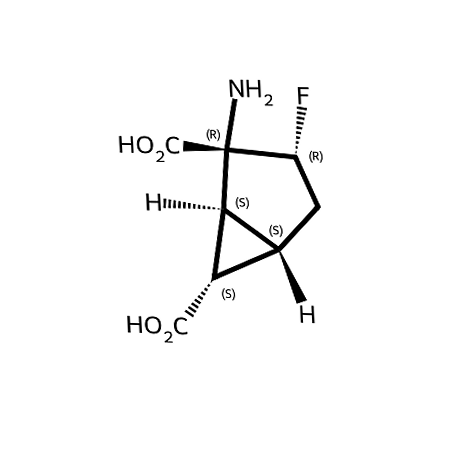 N[C@@]1(C(=O)O)[C@H]2[C@H](C[C@H]1F)[C@@H]2C(=O)O